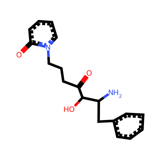 NC(Cc1ccccc1)C(O)C(=O)CCCn1ccccc1=O